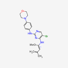 C=C(C)/C=C(/Nc1nc(Nc2ccc(N3CCOCC3)cc2)ncc1Br)OC